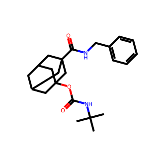 CC(C)(C)NC(=O)OC12CC3CC(C1)CC(C(=O)NCc1ccccc1)(C3)C2